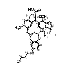 CC[C@@H]1CN(Cc2cc(C(c3ccc4c(nnn4C)c3C)C(C)(C)C(=O)O)ccc2C)Cc2nc(NCCCCl)ccc2O1